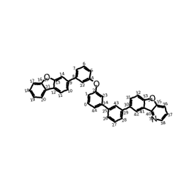 c1cc(Oc2cccc(-c3ccc4c(c3)oc3ccccc34)c2)cc(-c2cccc(-c3ccc4oc5cccnc5c4c3)c2)c1